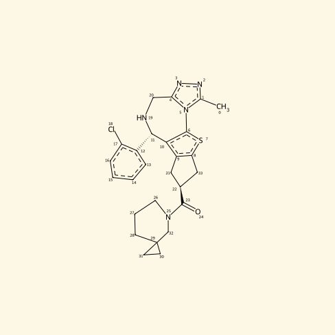 Cc1nnc2n1-c1sc3c(c1[C@H](c1ccccc1Cl)NC2)C[C@H](C(=O)N1CCCC2(CC2)C1)C3